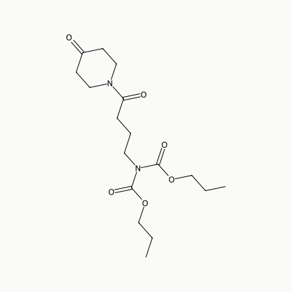 CCCOC(=O)N(CCCC(=O)N1CCC(=O)CC1)C(=O)OCCC